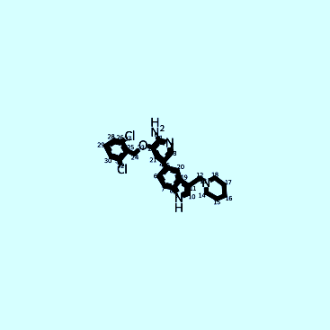 Nc1ncc(-c2ccc3[nH]cc(CN4CCCCC4)c3c2)cc1OCc1c(Cl)cccc1Cl